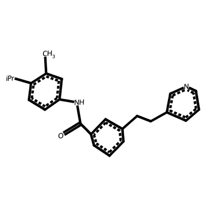 Cc1cc(NC(=O)c2cccc(CCc3cccnc3)c2)ccc1C(C)C